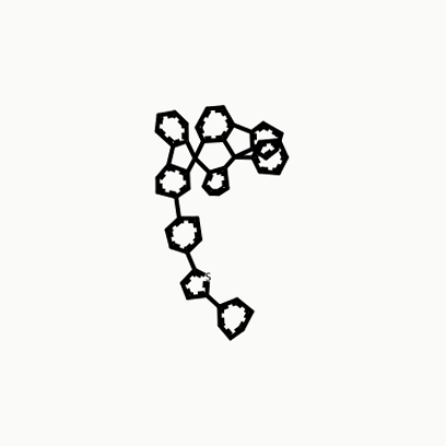 c1ccc(-c2ccc(-c3ccc(-c4ccc5c(c4)C4(c6ccccc6-5)c5ccccc5C5(c6ccccc6)c6ccccc6-c6cccc4c65)cc3)s2)cc1